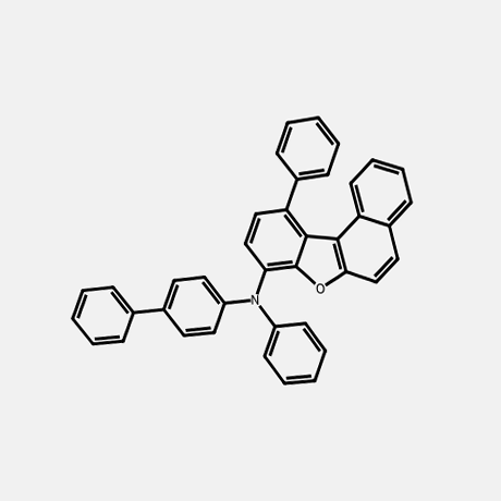 c1ccc(-c2ccc(N(c3ccccc3)c3ccc(-c4ccccc4)c4c3oc3ccc5ccccc5c34)cc2)cc1